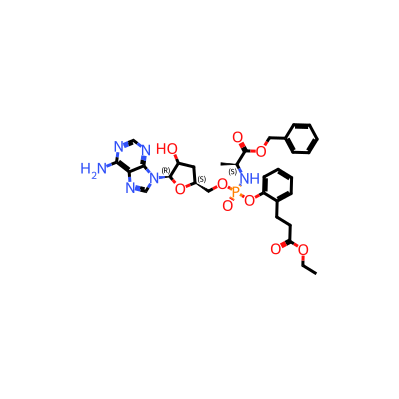 CCOC(=O)CCc1ccccc1OP(=O)(N[C@@H](C)C(=O)OCc1ccccc1)OC[C@@H]1CC(O)[C@H](n2cnc3c(N)ncnc32)O1